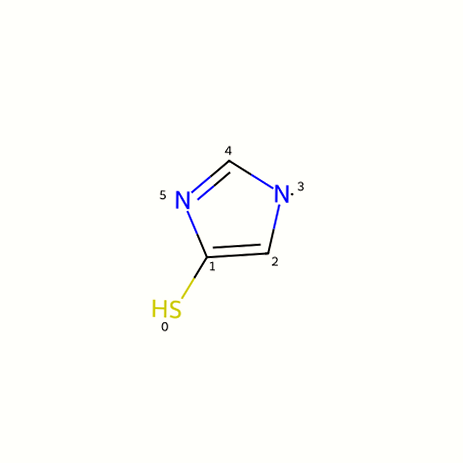 SC1=C[N]C=N1